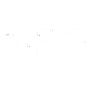 NC1CCN(C(=O)c2cc(-c3ccc(Cl)c(Cl)c3)ncn2)C1